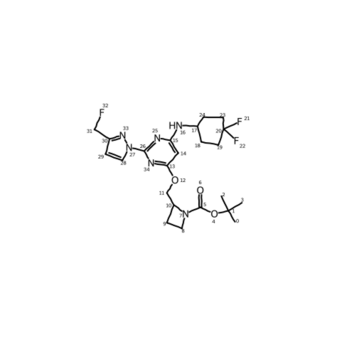 CC(C)(C)OC(=O)N1CCC1COc1cc(NC2CCC(F)(F)CC2)nc(-n2ccc(CF)n2)n1